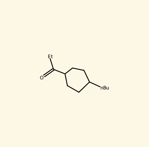 CCCCC1CCC(C(=O)CC)CC1